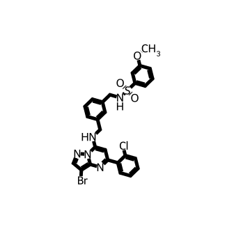 COc1cccc(S(=O)(=O)NCc2cccc(CNc3cc(-c4ccccc4Cl)nc4c(Br)cnn34)c2)c1